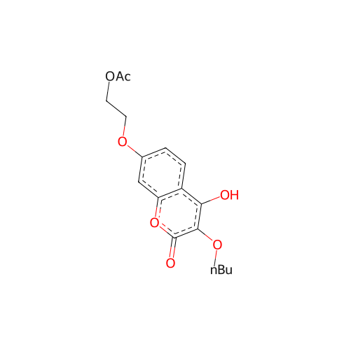 CCCCOc1c(O)c2ccc(OCCOC(C)=O)cc2oc1=O